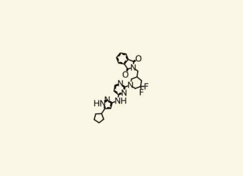 O=C1c2ccccc2C(=O)N1CC1CN(c2nccc(Nc3cc(C4CCCC4)[nH]n3)n2)CC(F)(F)C1